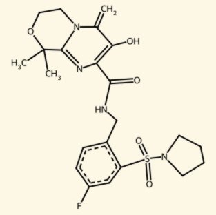 C=C1C(O)=C(C(=O)NCc2ccc(F)cc2S(=O)(=O)N2CCCC2)N=C2N1CCOC2(C)C